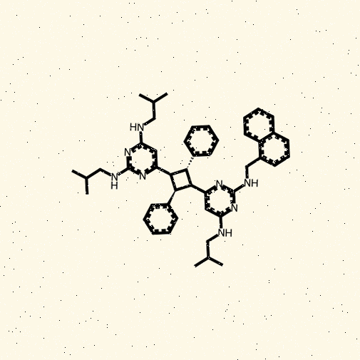 CC(C)CNc1cc(C2[C@@H](c3ccccc3)C(c3cc(NCC(C)C)nc(NCC(C)C)n3)[C@@H]2c2ccccc2)nc(NCc2cccc3ccccc23)n1